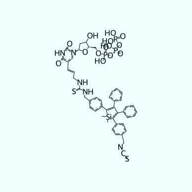 C[Si]1(C)C(c2ccc(CN=C=S)cc2)=C(c2ccccc2)C(c2ccccc2)=C1c1ccc(CNC(=S)NC/C=C/c2cn([C@H]3CC(O)[C@@H](COP(=O)(O)OP(=O)(O)OP(=O)(O)O)O3)c(=O)[nH]c2=O)cc1